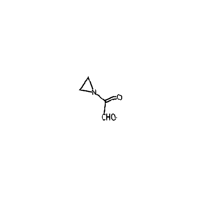 O=[C]C(=O)N1CC1